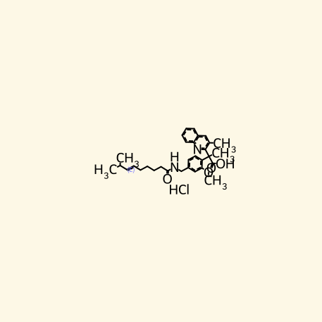 COc1cc(CNC(=O)CCCC/C=C/C(C)C)ccc1C(C)(C(=O)O)c1nc2ccccc2cc1C.Cl